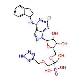 O=P(O)(O)C(CO)(COCc1nn[nH]n1)OC[C@H]1O[C@@H](n2ncc3c(NC4CCc5ccccc54)nc(Cl)nc32)[C@H](O)[C@@H]1O